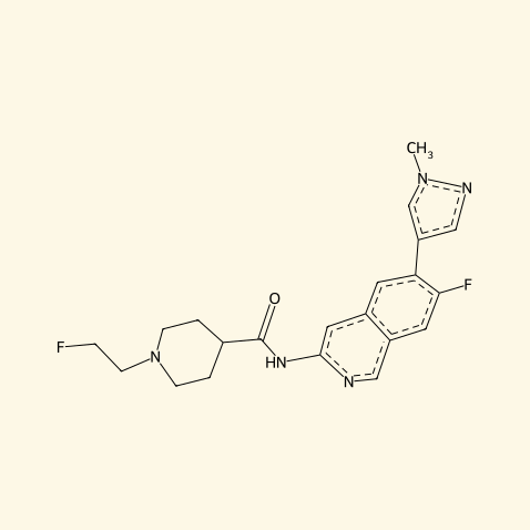 Cn1cc(-c2cc3cc(NC(=O)C4CCN(CCF)CC4)ncc3cc2F)cn1